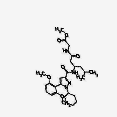 COC(=O)CNC(=O)CC(CC(C)C)NC(=O)c1cc(-c2c(OC)cccc2OC)n(C2CCCCC2)n1